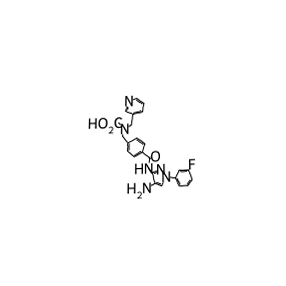 Nc1cn(-c2cccc(F)c2)nc1NC(=O)c1ccc(CN(Cc2cccnc2)C(=O)O)cc1